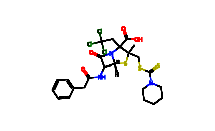 CC1(CSC(=S)N2CCCCC2)S[C@@H]2C(NC(=O)Cc3ccccc3)C(=O)N2C1(CC(Cl)(Cl)Cl)C(=O)O